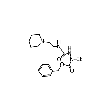 CCN(NC(=O)NCCN1CCCCC1)C(=O)OCc1ccccc1